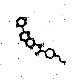 O=C(Nc1cc2nc(-c3cnccn3)ccc2cn1)C1CCN(CCF)CC1